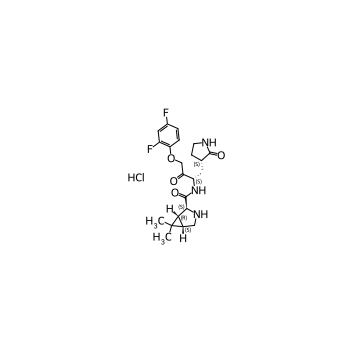 CC1(C)[C@@H]2[C@@H](C(=O)N[C@@H](C[C@@H]3CCNC3=O)C(=O)COc3ccc(F)cc3F)NC[C@@H]21.Cl